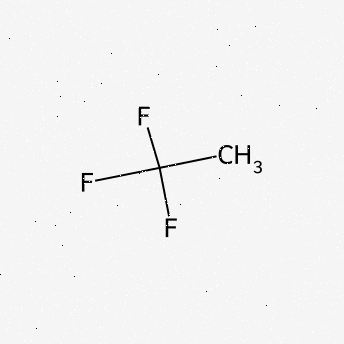 CC(F)(F)F